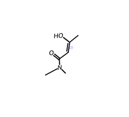 C/C(O)=C/C(=O)N(C)C